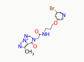 CC1=C2C(=O)N(CC(=O)NCCCOc3cncc(Br)c3)C=N[N+]2C=N1